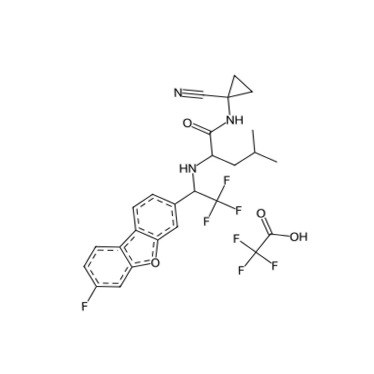 CC(C)CC(NC(c1ccc2c(c1)oc1cc(F)ccc12)C(F)(F)F)C(=O)NC1(C#N)CC1.O=C(O)C(F)(F)F